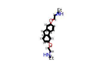 CCNCCOc1ccc2c(c1)Cc1ccc(OCCNCC)cc1-2